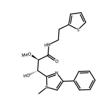 CO[C@@H](C(=O)NCCc1cccs1)[C@@H](O)c1nc(-c2ccccc2)cn1C